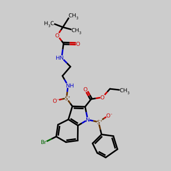 CCOC(=O)c1c([S+]([O-])NCCNC(=O)OC(C)(C)C)c2cc(Br)ccc2n1[S+]([O-])c1ccccc1